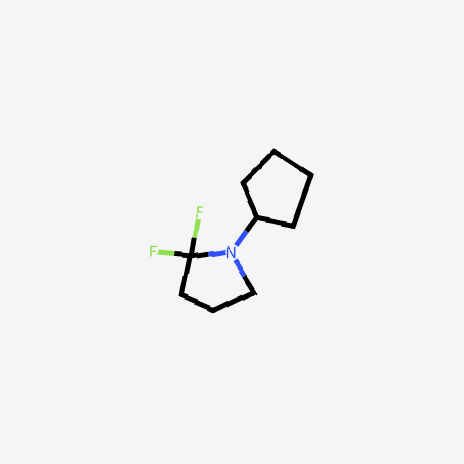 FC1(F)CCCN1[C]1CCCC1